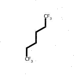 FC(F)(F)CCCCC(F)(F)F